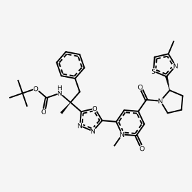 Cc1csc([C@H]2CCCN2C(=O)c2cc(-c3nnc([C@@](C)(Cc4ccccc4)NC(=O)OC(C)(C)C)o3)n(C)c(=O)c2)n1